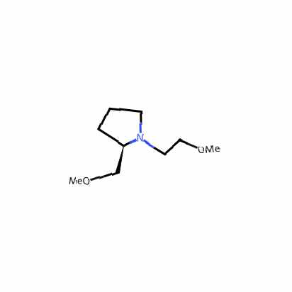 COCCN1CCC[C@@H]1COC